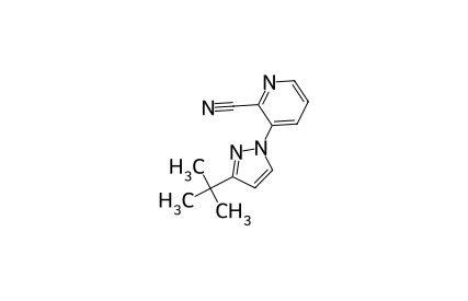 CC(C)(C)c1ccn(-c2cccnc2C#N)n1